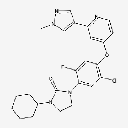 Cn1cc(-c2cc(Oc3cc(F)c(N4CCN(C5CCCCC5)C4=O)cc3Cl)ccn2)cn1